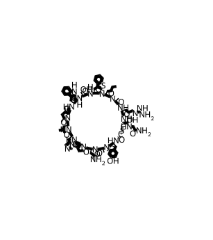 CCCC[C@H]1C(=O)N(C)[C@@H](C)C(=O)N[C@@H](CCCNC(=N)N)C(=O)NC(C(=O)NCC(N)=O)CSCC(=O)N[C@@H](Cc2ccc(O)cc2)C(=O)N(C)[C@@H](C)C(=O)N[C@@H](CC(N)=O)C(=O)N2CCC[C@H]2C(=O)N[C@@H](Cc2cnc[nH]2)C(=O)N[C@@H](CC(C)C)C(=O)N2[C@@H](C)CC[C@H]2C(=O)N[C@@H](Cc2c[nH]c3ccccc23)C(=O)N[C@@H](CO)C(=O)N[C@@H](Cc2csc3ccccc23)C(=O)N1C